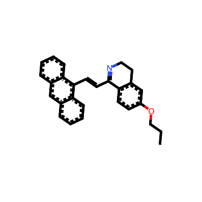 CCCOc1ccc2c(c1)CCN=C2C=Cc1c2ccccc2cc2ccccc12